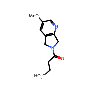 COc1cnc2c(c1)CN(C(=O)CCC(=O)O)C2